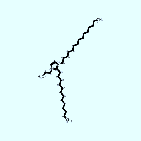 CCCCCCCCCCCCCCC[n+]1ccn(CCC)c1CCCCCCCCCCCCC